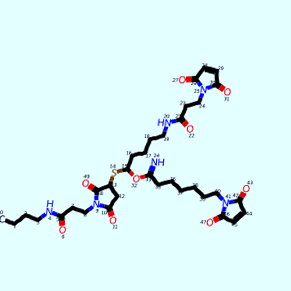 CCCCNC(=O)CCN1C(=O)CC(SC(CCCCNC(=O)CCN2C(=O)C=CC2=O)OC(=N)CCCCCCN2C(=O)C=CC2=O)C1=O